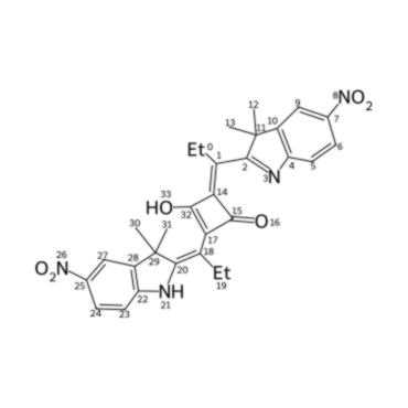 CC/C(C1=Nc2ccc([N+](=O)[O-])cc2C1(C)C)=C1/C(=O)C(C(/CC)=C2/Nc3ccc([N+](=O)[O-])cc3C2(C)C)=C1O